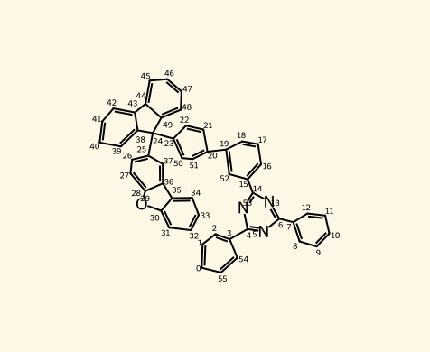 c1ccc(-c2nc(-c3ccccc3)nc(-c3cccc(-c4ccc(C5(c6ccc7oc8ccccc8c7c6)c6ccccc6-c6ccccc65)cc4)c3)n2)cc1